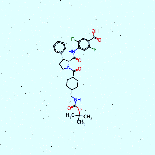 CC(C)(C)OC(=O)NC[C@H]1CC[C@H](C(=O)N2CC[C@H](c3ccccc3)[C@H]2C(=O)Nc2cc(F)c(C(=O)O)cc2F)CC1